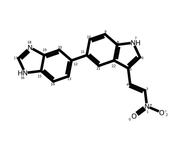 O=[N+]([O-])C=Cc1c[nH]c2ccc(-c3ccc4[nH]cnc4c3)cc12